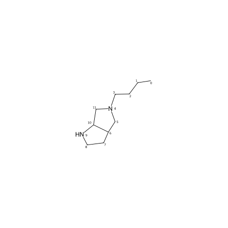 CCCCN1CC2CCNC2C1